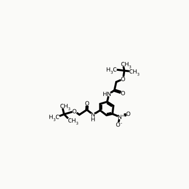 CC(C)(C)OCC(=O)Nc1cc(NC(=O)COC(C)(C)C)cc([N+](=O)[O-])c1